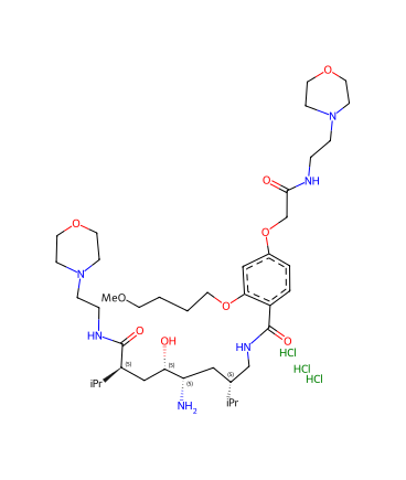 COCCCCOc1cc(OCC(=O)NCCN2CCOCC2)ccc1C(=O)NC[C@@H](C[C@H](N)[C@@H](O)C[C@H](C(=O)NCCN1CCOCC1)C(C)C)C(C)C.Cl.Cl.Cl